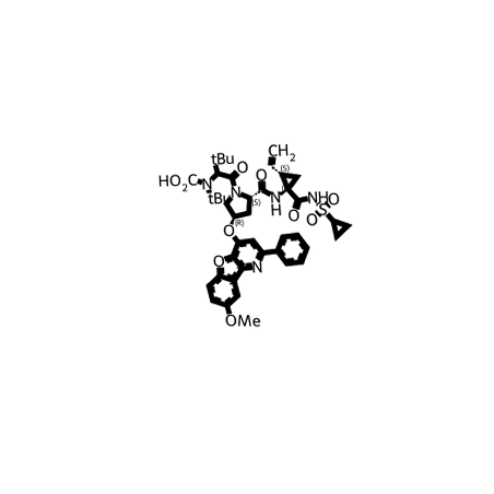 C=C[C@@H]1C[C@]1(NC(=O)[C@@H]1C[C@@H](Oc2cc(-c3ccccc3)nc3c2oc2ccc(OC)cc23)CN1C(=O)C(N(C(=O)O)C(C)(C)C)C(C)(C)C)C(=O)NS(=O)(=O)C1CC1